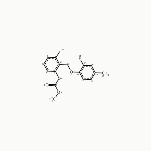 COC(=O)Oc1cccc(I)c1COc1ccc(C)cc1F